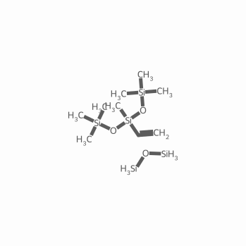 C=C[Si](C)(O[Si](C)(C)C)O[Si](C)(C)C.[SiH3]O[SiH3]